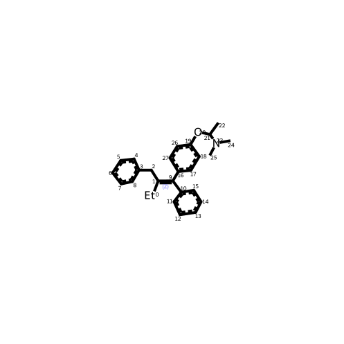 CC/C(Cc1ccccc1)=C(\c1ccccc1)c1ccc(OC(C)N(C)C)cc1